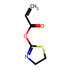 C=CC(=O)OC1=NCCS1